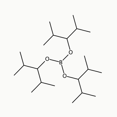 CC(C)C(OB(OC(C(C)C)C(C)C)OC(C(C)C)C(C)C)C(C)C